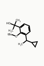 CC(c1cccc(C(C)(C)O)c1OC(C)(C)C)C1CC1